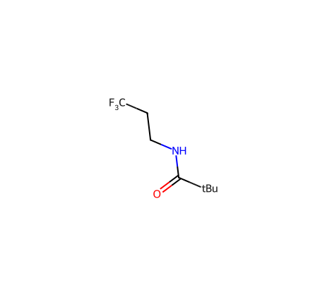 CC(C)(C)C(=O)NCCC(F)(F)F